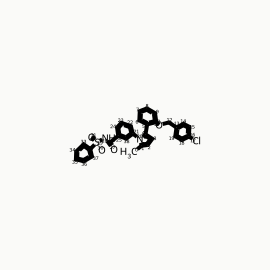 Cc1ccc(-c2ccccc2OCc2ccc(Cl)cc2)n1-c1cccc(C(=O)NS(=O)(=O)c2ccccc2)c1